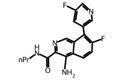 CCCNC(=O)c1ncc2c(-c3cncc(F)c3)c(F)ccc2c1N